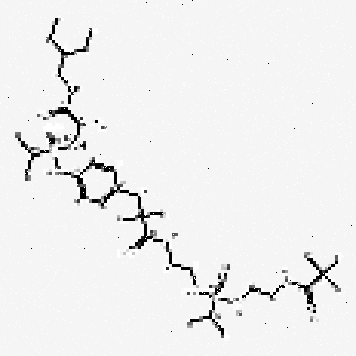 CCC(CC)COC(=O)[C@H](C)N[P@@](=O)(Oc1ccc(CC(C)(C)C(=O)SCCOP(=O)(OCCSC(=O)C(C)(C)C)C(C)C)cc1)C(C)C